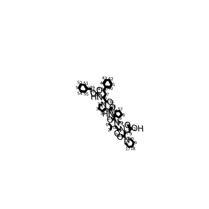 CC(C)[C@@H](C(=O)N(C)[C@@H](CC(=O)O)C(=O)N1CCCCC1)N(C)C(=O)C1(NC(=O)[C@@H]2CCCN2C(=O)C(CCc2ccccc2)NC(=O)OCc2ccccc2)CCCC1